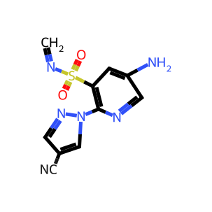 C=NS(=O)(=O)c1cc(N)cnc1-n1cc(C#N)cn1